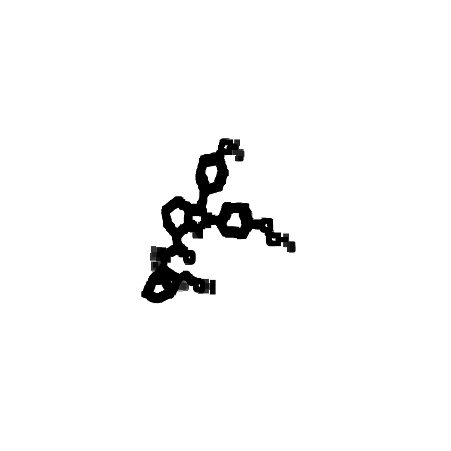 COc1ccc(-n2nc3c(c2-c2ccc(C)cc2)CCCC3C(=O)N[C@@H]2C3CCC(C3)[C@@H]2CO)cc1